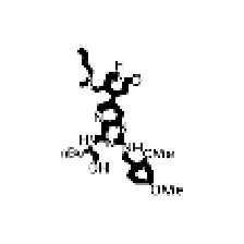 C=CCCN(C)Cc1c[nH]c(=O)cc1-c1cnc2c(NC(CO)CCCC)nc(NCc3ccc(OC)cc3OC)nc2c1